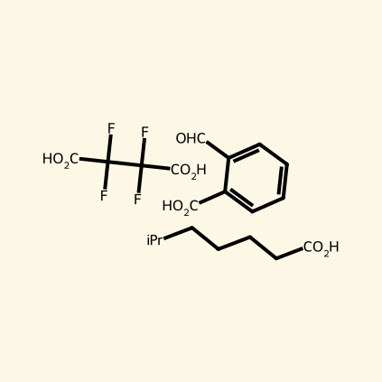 CC(C)CCCCC(=O)O.O=C(O)C(F)(F)C(F)(F)C(=O)O.O=Cc1ccccc1C(=O)O